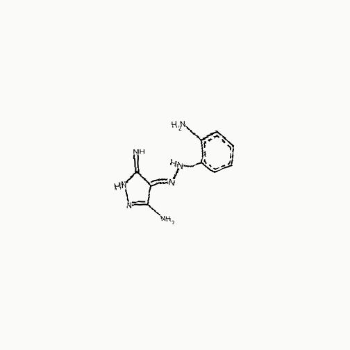 N=C1NN=C(N)/C1=N/Nc1ccccc1N